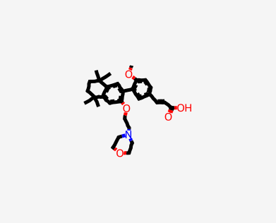 COc1ccc(/C=C/C(=O)O)cc1-c1cc2c(cc1OCCN1CCOCC1)C(C)(C)CCC2(C)C